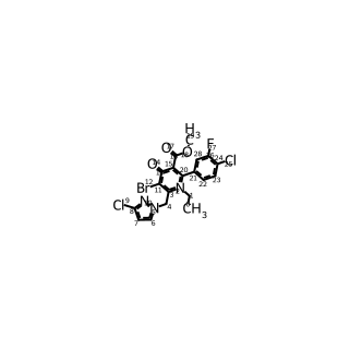 CCn1c(Cn2ccc(Cl)n2)c(Br)c(=O)c(C(=O)OC)c1-c1ccc(Cl)c(F)c1